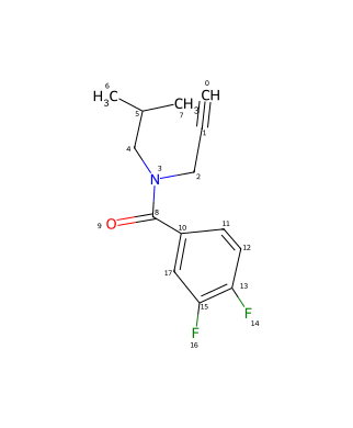 C#CCN(CC(C)C)C(=O)c1ccc(F)c(F)c1